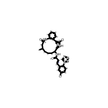 CC1CCCC(NC(=O)/C=C/c2cc(Cl)ccc2-n2cnnn2)c2nc(c(Cl)[nH]2)-c2ccccc2NC(=O)C1